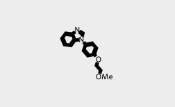 COCCOc1ccc(-n2cnc3ccccc32)cc1